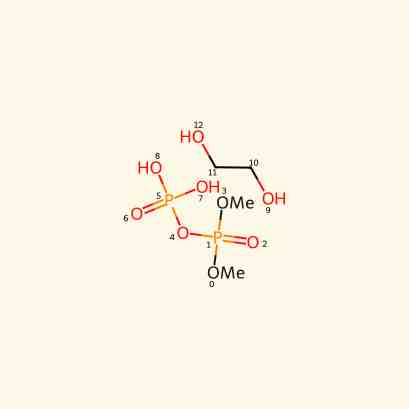 COP(=O)(OC)OP(=O)(O)O.OCCO